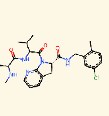 CN[C@@H](C)C(=O)N[C@H](C(=O)N1c2ncccc2C[C@H]1C(=O)NCc1cc(Cl)ccc1C)C(C)C